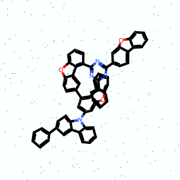 c1ccc(-c2ccc3c(c2)c2ccccc2n3-c2cc(-c3ccc4oc5cccc(-c6nc(-c7ccccc7)nc(-c7ccc8c(c7)oc7ccccc78)n6)c5c4c3)c3c(c2)oc2ccccc23)cc1